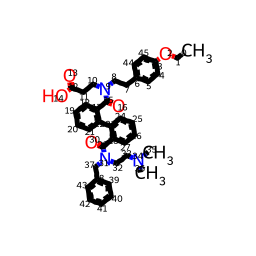 CCOc1ccc(CCN(CCC(=O)O)C(=O)c2ccccc2-c2ccccc2C(=O)N(CCN(C)C)Cc2ccccc2)cc1